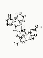 CCc1nc2[nH]c(=O)n(CC(=O)OC)c(=O)c2n1Cc1ccc(-c2ccccc2-c2nnn[nH]2)cc1